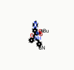 CN1CCN(c2ccc3c(C(=O)C(NCCc4ccc(C#N)cc4)c4ccccc4)cn(C(=O)OC(C)(C)C)c3c2)CC1